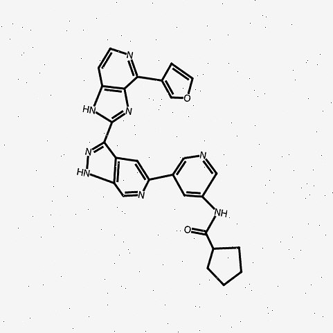 O=C(Nc1cncc(-c2cc3c(-c4nc5c(-c6ccoc6)nccc5[nH]4)n[nH]c3cn2)c1)C1CCCC1